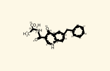 C[C@H](NC(=O)c1c[nH]c2ccc(Cc3ccccc3)cc2c1=O)C(=O)O